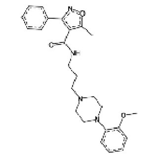 COc1ccccc1N1CCN(CCCNC(=O)c2c(-c3ccccc3)noc2C)CC1